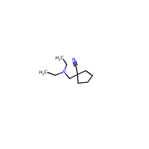 CCN(CC)CC1(C#N)CCCC1